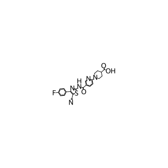 N#Cc1sc(NC(=O)c2ccc(N3CCC(C(=O)O)CC3)nc2)nc1-c1ccc(F)cc1